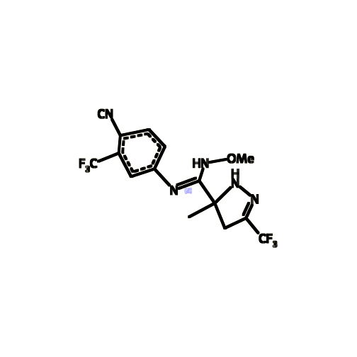 [C-]#[N+]c1ccc(/N=C(\NOC)C2(C)CC(C(F)(F)F)=NN2)cc1C(F)(F)F